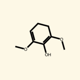 COC1=CCCC(OC)=C1O